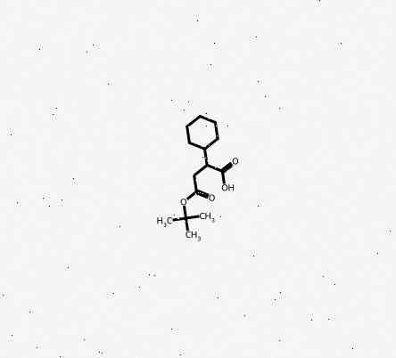 CC(C)(C)OC(=O)CC(C(=O)O)C1CCCCC1